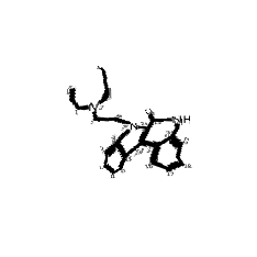 CCN(CC)CCn1c2ccccc2c2c3ccccc3[nH]c(=O)c21